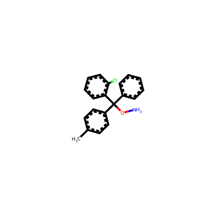 Cc1ccc(C(ON)(c2ccccc2)c2ccccc2Cl)cc1